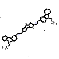 CCn1c2ccccc2c2cc(/C=C/c3cc4sc5cc(/C=C/c6ccc7c(c6)c6ccccc6n7CC)sc5c4s3)ccc21